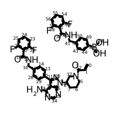 C=CC(=O)N1CCC[C@@H](n2nc(-c3ccc(CNC(=O)c4c(F)cccc4F)cc3)c3c(N)ncnc32)C1.O=C(NCc1ccc(B(O)O)cc1)c1c(F)cccc1F